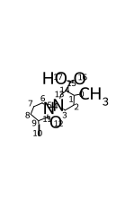 CC1CCN(N2CCCC(I)C2=O)CC1C(=O)O